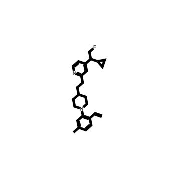 C=Cc1ccc(C)cc1N1CCC(CCc2cc(C(CF)C3CC3)ccn2)CC1